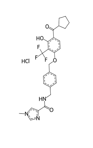 Cl.Cn1cnc(C(=O)NCc2ccc(COc3ccc(C(=O)C4CCCC4)c(O)c3C(F)(F)F)cc2)c1